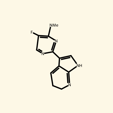 CNc1nc(-c2c[nH]c3c2=CCCN=3)ncc1F